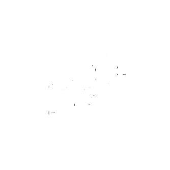 CC(C)(C)OC(=O)C[S+]([O-])c1ccccc1Cl